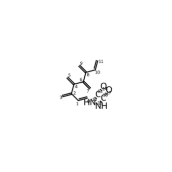 C=CC(=C)C(=C)C(=C)C(=C)C=C.N=C=O.N=C=O